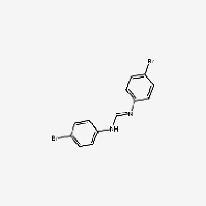 Brc1ccc(N=CNc2ccc(Br)cc2)cc1